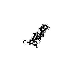 C/C=C/C(=N\NCc1cc(Cl)ccc1OCC(C)C)NC(=O)c1cc2ccccc2cn1